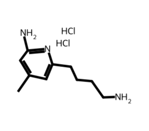 Cc1cc(N)nc(CCCCN)c1.Cl.Cl